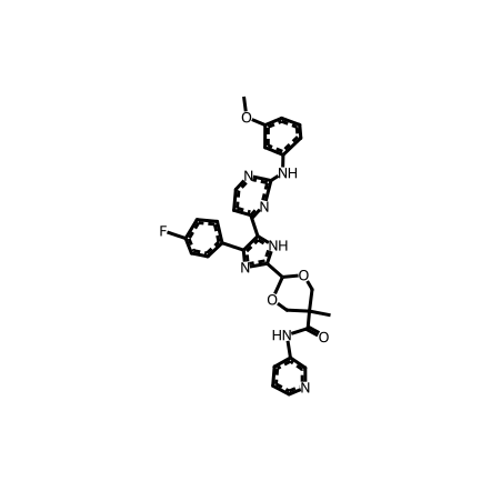 COc1cccc(Nc2nccc(-c3[nH]c(C4OCC(C)(C(=O)Nc5cccnc5)CO4)nc3-c3ccc(F)cc3)n2)c1